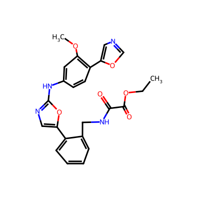 CCOC(=O)C(=O)NCc1ccccc1-c1cnc(Nc2ccc(-c3cnco3)c(OC)c2)o1